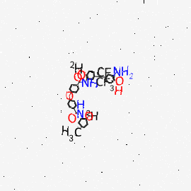 [2H]Oc1ccc(C)cc1NC(=O)c1ccc(Oc2ccc(C(=O)Nc3cc(C(c4ccc(O)c(N)c4)(C(F)(F)F)C(F)(F)F)ccc3O[2H])cc2)cc1